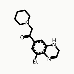 CCc1cc(C(=O)CN2CCCCC2)cc2c1N=CCN2